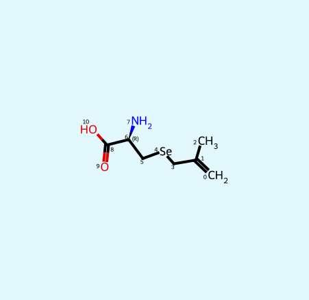 C=C(C)C[Se]C[C@H](N)C(=O)O